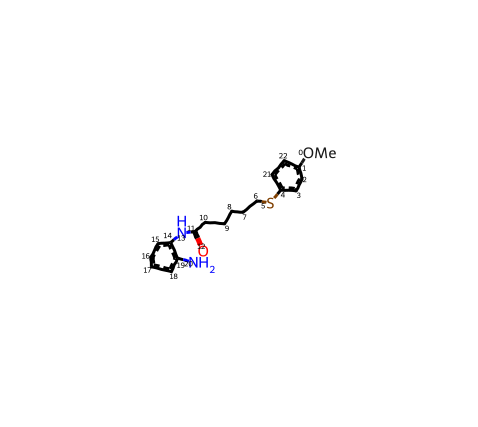 COc1ccc(SCCCCCC(=O)Nc2ccccc2N)cc1